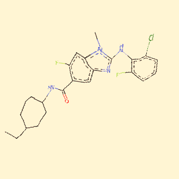 CCC1CCC(NC(=O)c2cc3nc(Nc4c(F)cccc4Cl)n(C)c3cc2F)CC1